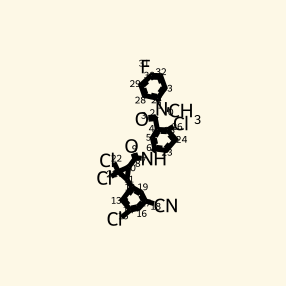 CN(C(=O)c1cc(NC(=O)C2C(c3cc(Cl)cc(C#N)c3)C2(Cl)Cl)ccc1Cl)c1ccc(F)cc1